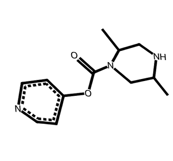 CC1CN(C(=O)Oc2ccncc2)C(C)CN1